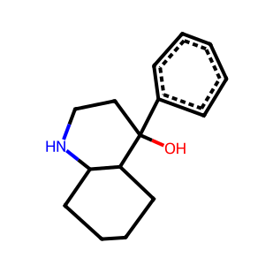 OC1(c2ccccc2)CCNC2CCCCC21